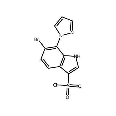 O=S(=O)(Cl)c1c[nH]c2c(-n3cccn3)c(Br)ccc12